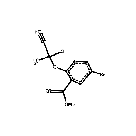 C#CC(C)(C)Oc1ccc(Br)cc1C(=O)OC